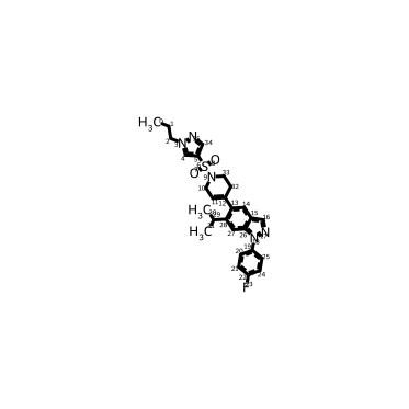 CCCn1cc(S(=O)(=O)N2CC=C(c3cc4cnn(-c5ccc(F)cc5)c4cc3C(C)C)CC2)cn1